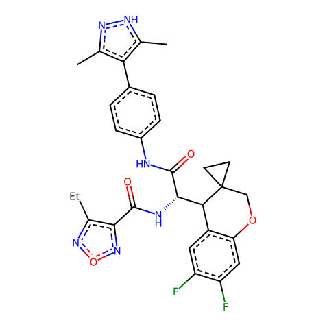 CCc1nonc1C(=O)N[C@H](C(=O)Nc1ccc(-c2c(C)n[nH]c2C)cc1)C1c2cc(F)c(F)cc2OCC12CC2